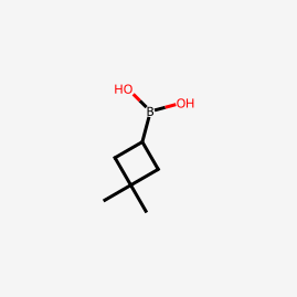 CC1(C)CC(B(O)O)C1